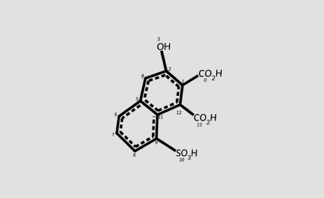 O=C(O)c1c(O)[c]c2cccc(S(=O)(=O)O)c2c1C(=O)O